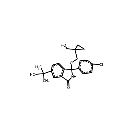 CC(C)(O)c1ccc2c(c1)C(=O)NC2(OCC1(CO)CC1)c1ccc(Cl)cc1